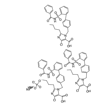 CCCCc1nc(Cl)c(C(=O)O)n1Cc1ccc(-c2ccccc2S(=O)(=O)NC(=O)c2ccccc2)cc1.CCCCc1nc(Cl)c(C(=O)O)n1Cc1ccc(-c2ccccc2S(=O)(=O)NC(=O)c2ccccc2)cc1.CCCCc1nc(Cl)c(C(=O)O)n1Cc1ccc(-c2ccccc2S(=O)(=O)NC(=O)c2ccccc2)cc1.O=P([O-])([O-])[O-].[Na+].[Na+].[Na+]